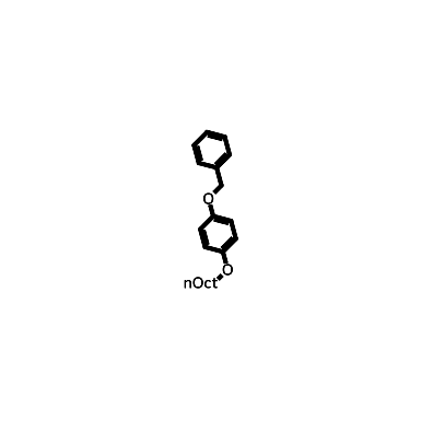 [CH2]CCCCCCCOc1ccc(OCc2ccccc2)cc1